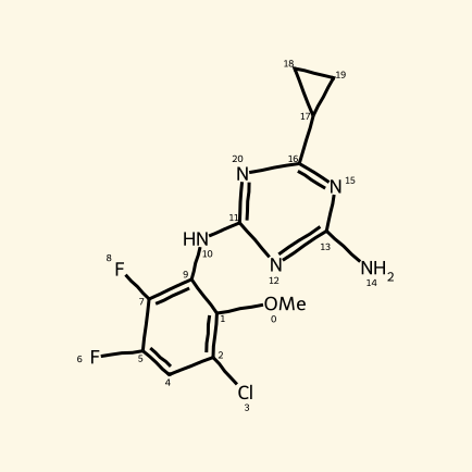 COc1c(Cl)cc(F)c(F)c1Nc1nc(N)nc(C2CC2)n1